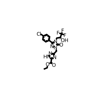 CCOC(=O)c1nc(Cn2nc(-c3ccc(Cl)cc3)n(C[C@H](O)C(F)(F)F)c2=O)n[nH]1